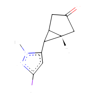 CC(C)n1nc(I)cc1C1C2CC(=O)C[C@@H]21